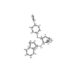 Cl.N#Cc1ccc(Cn2cncc2Cn2cnc3ccccc32)cc1